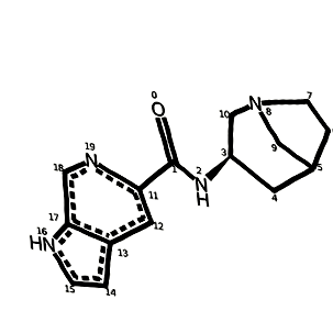 O=C(N[C@@H]1CC2CCN(C2)C1)c1cc2cc[nH]c2cn1